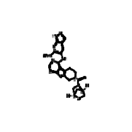 COc1nc2[nH]ncc2cc1Nc1ncnc2sc3c(c12)CC[C@H](C(=O)N1C[C@H]2C[C@@H]1CO2)C3